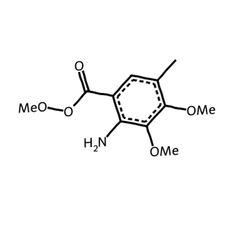 COOC(=O)c1cc(C)c(OC)c(OC)c1N